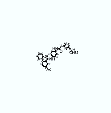 CC(=O)c1ccc(-c2ccccc2)c(C(=O)Nc2ccc(NC(=O)Cc3csc(NC=O)n3)cc2)c1